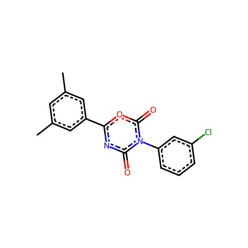 Cc1cc(C)cc(-c2nc(=O)n(-c3cccc(Cl)c3)c(=O)o2)c1